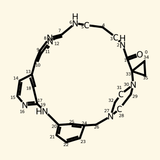 O=C1NCCCNc2ncc(cn2)-c2ccnc(c2)Nc2cccc(c2)CN2CCN(CC2)C12CC2